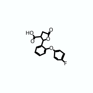 O=C1CC(C(=O)O)C(c2ccccc2Oc2ccc(F)cc2)O1